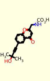 CC(C)(O)C#Cc1ccc2oc(CNC(=O)O)cc(=O)c2c1